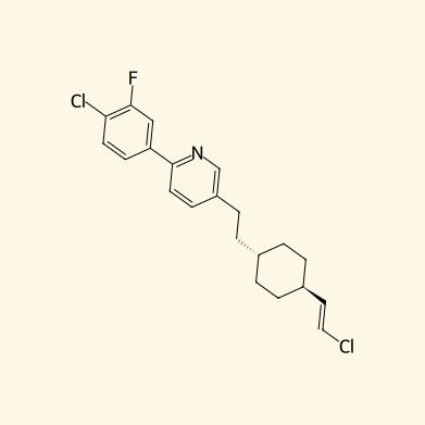 Fc1cc(-c2ccc(CC[C@H]3CC[C@H](/C=C/Cl)CC3)cn2)ccc1Cl